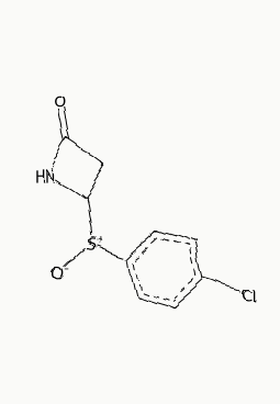 O=C1CC([S+]([O-])c2ccc(Cl)cc2)N1